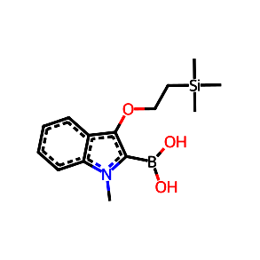 Cn1c(B(O)O)c(OCC[Si](C)(C)C)c2ccccc21